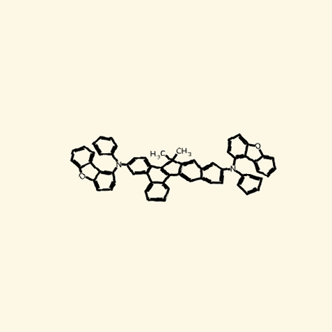 CC1(C)c2cc3cc(N(c4ccccc4)c4cccc5oc6ccccc6c45)ccc3cc2-c2c1c1ccc(N(c3ccccc3)c3cccc4oc5ccccc5c34)cc1c1ccccc21